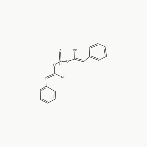 CC(=O)/C(=C\c1ccccc1)O[PH](=O)O/C(=C/c1ccccc1)C(C)=O